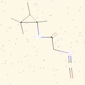 CC1C(C)(C)C1(C)NC(=O)CN=C=O